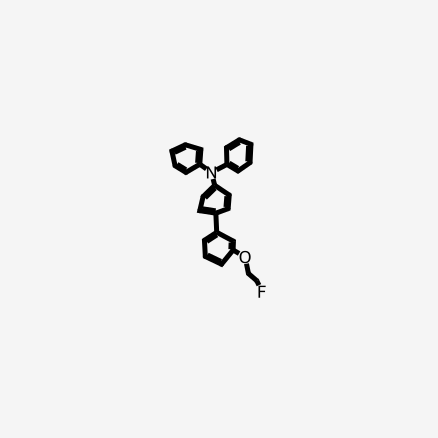 FCCOc1cccc(-c2ccc(N(c3ccccc3)c3ccccc3)cc2)c1